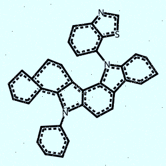 c1ccc(-n2c3ccc4c5ccccc5n(-c5cccc6ncsc56)c4c3c3ccc4ccccc4c32)cc1